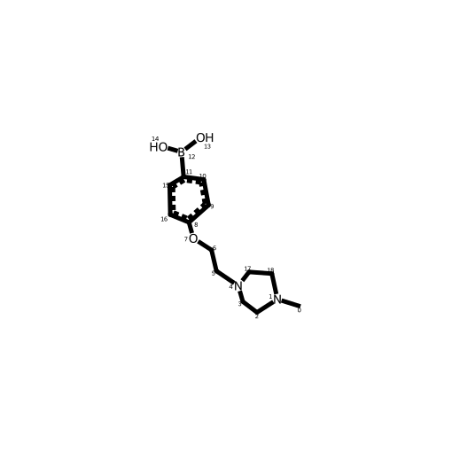 CN1CCN(CCOc2ccc(B(O)O)cc2)CC1